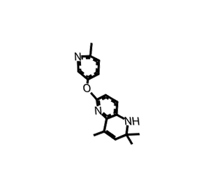 CC1=CC(C)(C)Nc2ccc(Oc3ccc(C)nc3)nc21